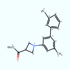 COC(=O)C1CN(c2cc(C)cc(-c3cccc(C(C)C)c3)c2)C1